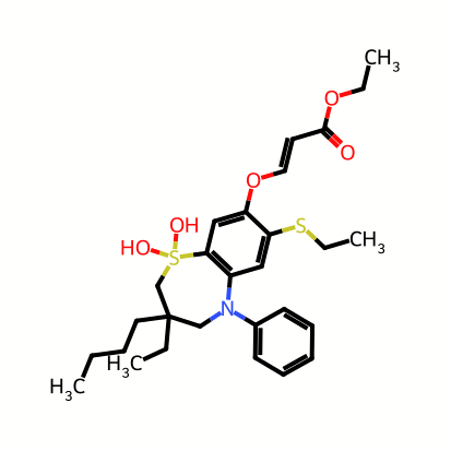 CCCCC1(CC)CN(c2ccccc2)c2cc(SCC)c(O/C=C/C(=O)OCC)cc2S(O)(O)C1